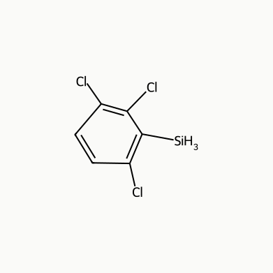 [SiH3]c1c(Cl)ccc(Cl)c1Cl